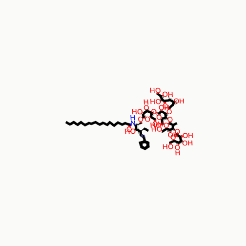 CCCCCCCCCCCCCCCCCC(=O)N[C@@H](CO[C@@H]1OC(CO)[C@@H](O[C@@H]2OC(CO)[C@H](O[C@@H]3OC(CO)[C@H](O)[C@H](O[C@@H]4OC(CO)[C@H](O)[C@H](O)C4O)C3C)[C@H](OC3C[C@@H](O)[C@@H](C)C([C@H](O)[C@H](O)CO)O3)C2O)[C@H](O)C1O)[C@H](O)[C@H](/C=C/c1ccccc1)CC